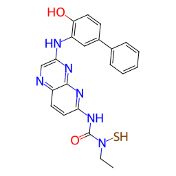 CCN(S)C(=O)Nc1ccc2ncc(Nc3cc(-c4ccccc4)ccc3O)nc2n1